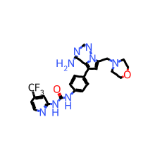 Nc1ncnn2c(CN3CCOCC3)cc(-c3ccc(NC(=O)Nc4cc(C(F)(F)F)ccn4)cc3)c12